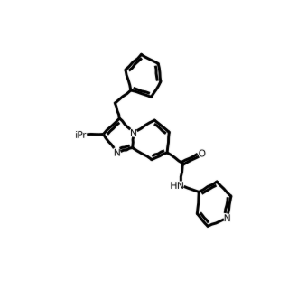 CC(C)c1nc2cc(C(=O)Nc3ccncc3)ccn2c1Cc1ccccc1